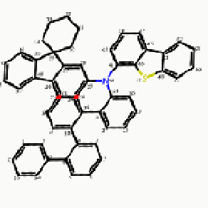 c1ccc(-c2ccccc2-c2ccccc2-c2ccccc2N(c2ccc3c(c2)C2(CCCCC2)c2ccccc2-3)c2cccc3c2sc2ccccc23)cc1